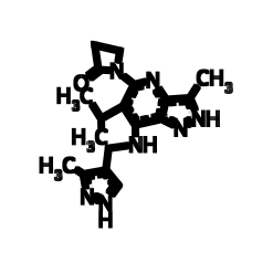 Cc1n[nH]cc1CNc1c(C(C)C)c(N2CCC2=O)nc2c(C)[nH]nc12